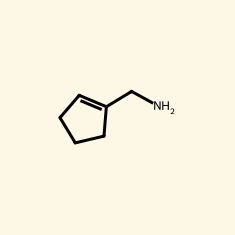 NCC1=CCCC1